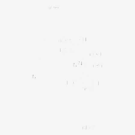 CCCCCCCCC1=C(c2cc(C)c(CCCCCCCC)c(C)c2)[N+](=[N-])C(c2cc(C)c(CCCCCCCC)c(C)c2)=C1CCCC.CCCCCCCCCCCCCCCCCCCCCCC[CH2][Ni][CH2]CCCCCCCCCCCCCCCCCCCCCCC